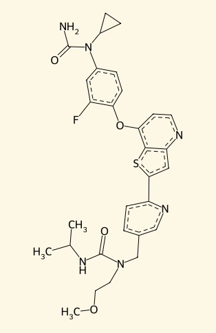 COCCN(Cc1ccc(-c2cc3nccc(Oc4ccc(N(C(N)=O)C5CC5)cc4F)c3s2)nc1)C(=O)NC(C)C